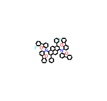 Fc1cccc2c1oc1c(N(c3cc(-c4ccccc4)c4ccc5c(N(c6cccc7c6oc6ccccc67)c6cccc7c6oc6c(F)cccc67)cc(-c6ccccc6)c6ccc3c4c65)c3cccc4c3oc3ccccc34)cccc12